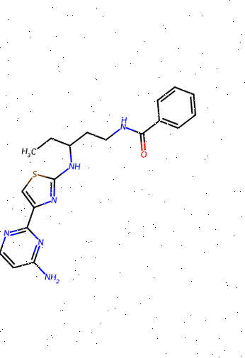 CCC(CCNC(=O)c1ccccc1)Nc1nc(-c2nccc(N)n2)cs1